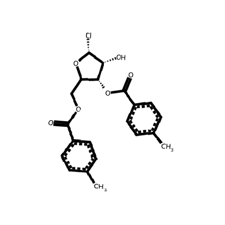 Cc1ccc(C(=O)OCC2O[C@H](Cl)[C@H](O)[C@@H]2OC(=O)c2ccc(C)cc2)cc1